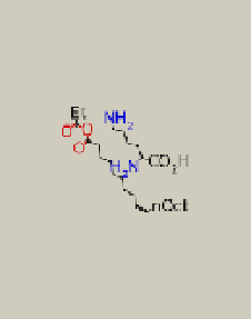 CCCCCCCC/C=C\CCCCCCCC(=O)OC(=O)CC.NCCCCC(N)C(=O)O